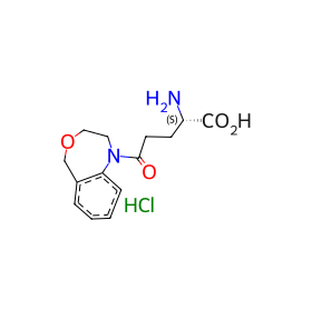 Cl.N[C@@H](CCC(=O)N1CCOCc2ccccc21)C(=O)O